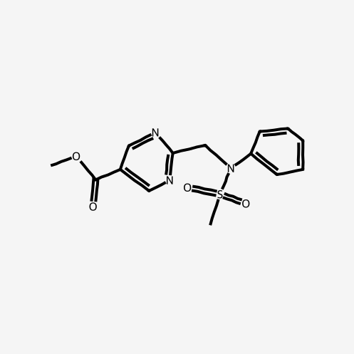 COC(=O)c1cnc(CN(c2ccccc2)S(C)(=O)=O)nc1